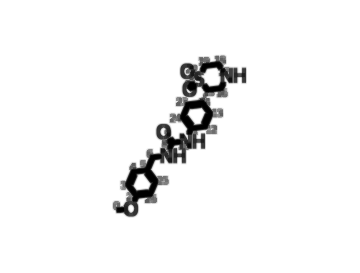 COc1ccc(CNC(=O)Nc2ccc([C@H]3CNCCS3(=O)=O)cc2)cc1